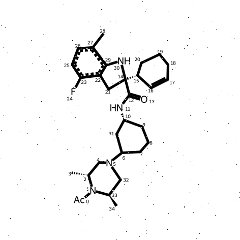 CC(=O)N1[C@H](C)CN(C2CCC[C@@H](NC(=O)C3([C@H]4C=CCCC4)Cc4c(F)ccc(C)c4N3)C2)C[C@H]1C